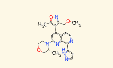 COCc1noc(C)c1-c1cc(N2CCOC[C@H]2C)nc2c(-c3ccn[nH]3)nccc12